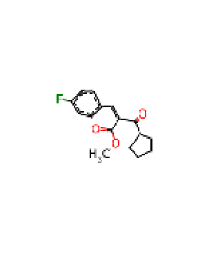 COC(=O)C(=Cc1ccc(F)cc1)C(=O)C1CCCC1